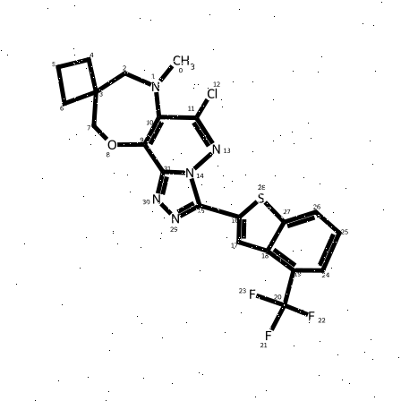 CN1CC2(CCC2)COc2c1c(Cl)nn1c(-c3cc4c(C(F)(F)F)cccc4s3)nnc21